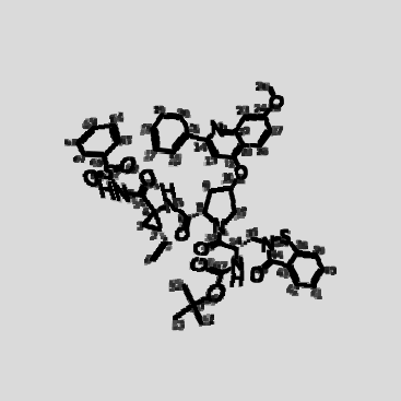 C=C[C@@H]1C[C@]1(NC(=O)[C@@H]1C[C@@H](Oc2cc(-c3ccccc3)nc3cc(OC)ccc23)CN1C(=O)[C@H](Cn1sc2ccccc2c1=O)NC(=O)OC(C)(C)C)C(=O)NS(=O)(=O)c1ccccc1